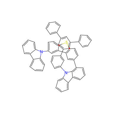 c1ccc(-c2cc(-c3ccccc3)cc(-c3cccc(-n4c5ccccc5c5cccc(-c6ccc7sc8ccc(-n9c%10ccccc%10c%10ccccc%109)cc8c7c6)c54)c3)c2)cc1